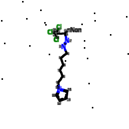 CCCCCCCCCC(N=NCCCCCCn1cccc1)[Si](Cl)(Cl)Cl